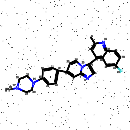 Cc1cc(-c2cnc3cc(-c4ccc(N5CCN(C(C)C)CC5)cc4)ccn23)c2cc(F)ccc2n1